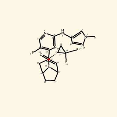 Cn1cc(Nc2ncc(F)c(C3=CC4CCC(C3)N4C(=O)[C@@H]3CC3(F)F)n2)cn1